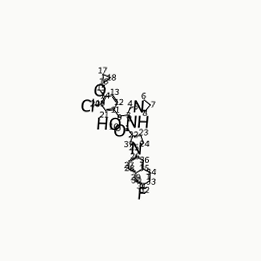 O=C(N[C@H](CN1CCC1)[C@H](O)c1ccc(OC2CC2)c(Cl)c1)C1CCN(c2ccc3cc(F)ccc3c2)C1